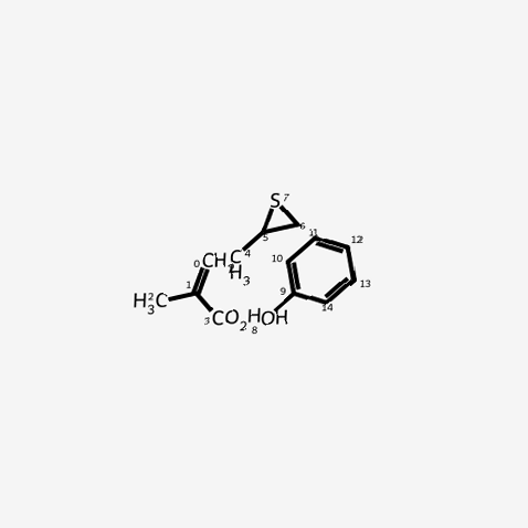 C=C(C)C(=O)O.CC1CS1.Oc1ccccc1